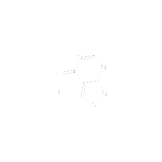 O=C1N=CN=C2N=NC=C12.[H+]